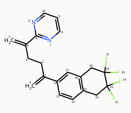 C=C(CCC(=C)c1ncccn1)c1ccc2c(c1)CC(F)(F)C(F)(F)C2